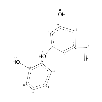 C=Cc1cc(O)cc(O)c1.Oc1ccccc1